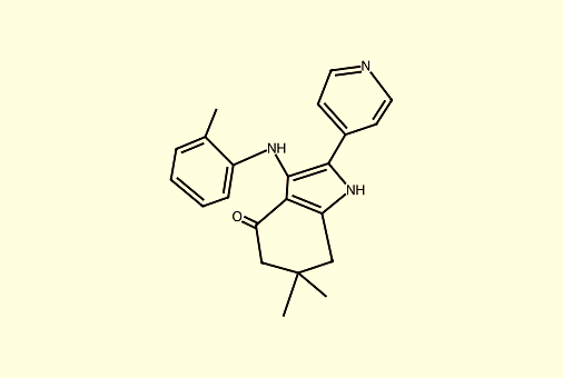 Cc1ccccc1Nc1c(-c2ccncc2)[nH]c2c1C(=O)CC(C)(C)C2